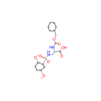 COc1ccc(OC)c(S(=O)(=O)NCC(NC(=O)OCc2ccccc2)C(=O)O)c1